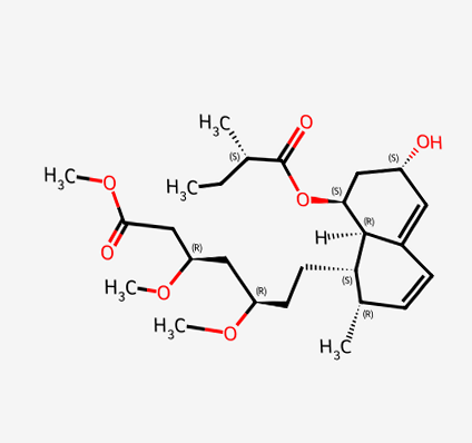 CC[C@H](C)C(=O)O[C@H]1C[C@H](O)C=C2C=C[C@H](C)[C@H](CC[C@H](C[C@H](CC(=O)OC)OC)OC)[C@H]21